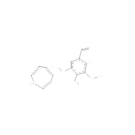 C1=CC=CNC=C1.COc1cc(C=O)cc(OC)c1O